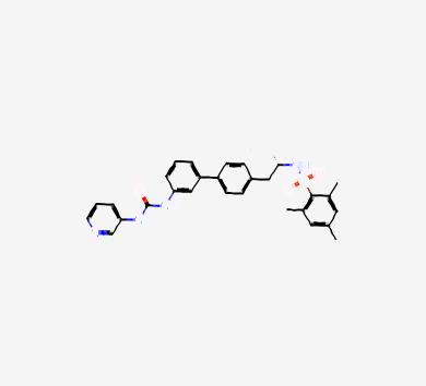 Cc1cc(C)c(S(=O)(=O)N[C@@H](Cc2ccc(-c3cccc(NC(=O)Nc4cccnc4)c3)cc2)C(=O)O)c(C)c1